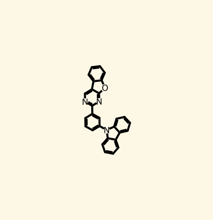 c1cc(-c2ncc3c(n2)oc2ccccc23)cc(-n2c3ccccc3c3ccccc32)c1